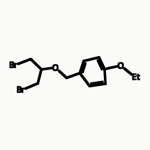 CCOc1ccc(COC(CBr)CBr)cc1